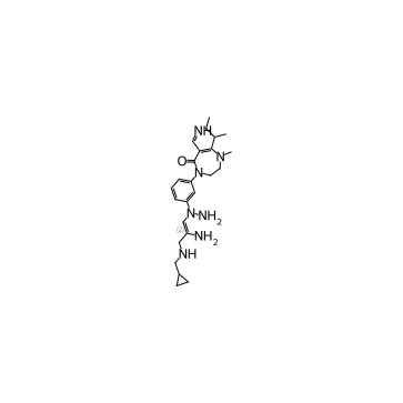 CCC(C)C1=C(C=N)C(=O)N(c2cccc(N(N)/C=C(\N)CNCC3CC3)c2)CCN1C